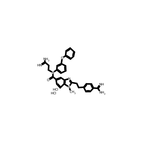 Cl.Cl.Cn1c(CCc2ccc(C(=N)N)cc2)nc2cc(C(=O)N(CCC(=N)N)c3cccc(Oc4ccccc4)c3)ccc21